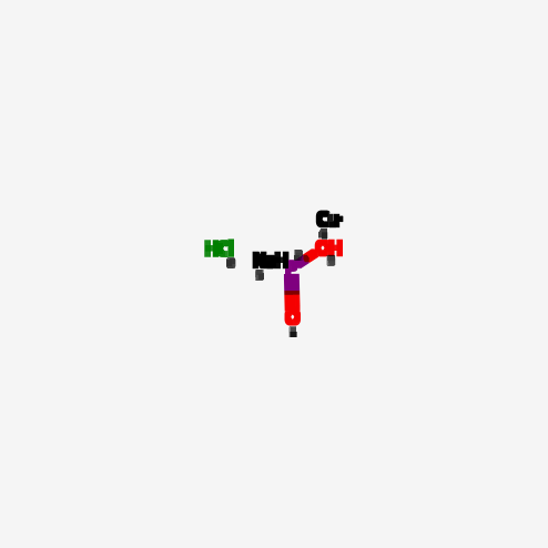 Cl.O=PO.[Cu].[NaH]